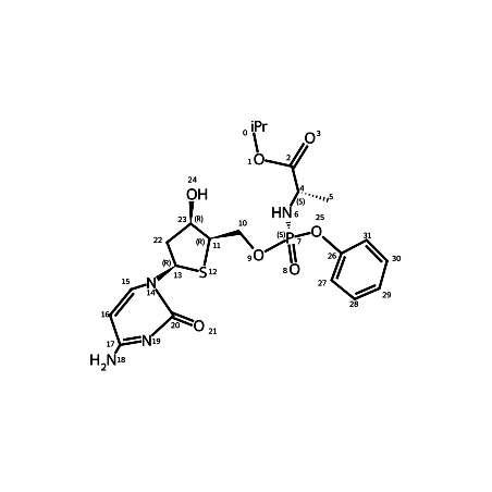 CC(C)OC(=O)[C@H](C)N[P@](=O)(OC[C@H]1S[C@@H](n2ccc(N)nc2=O)C[C@H]1O)Oc1ccccc1